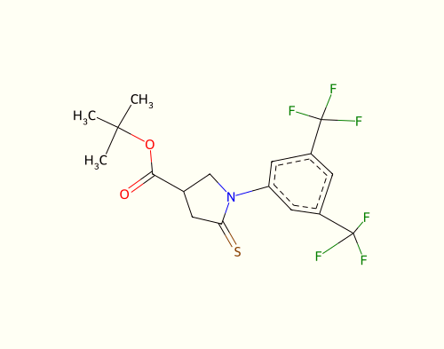 CC(C)(C)OC(=O)C1CC(=S)N(c2cc(C(F)(F)F)cc(C(F)(F)F)c2)C1